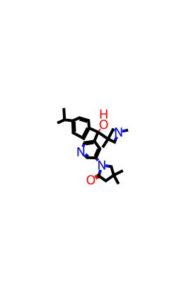 CC(C)c1ccc([C@](O)(c2cncc(N3CC(C)(C)CC3=O)c2)C2(C)CN(C)C2)cc1